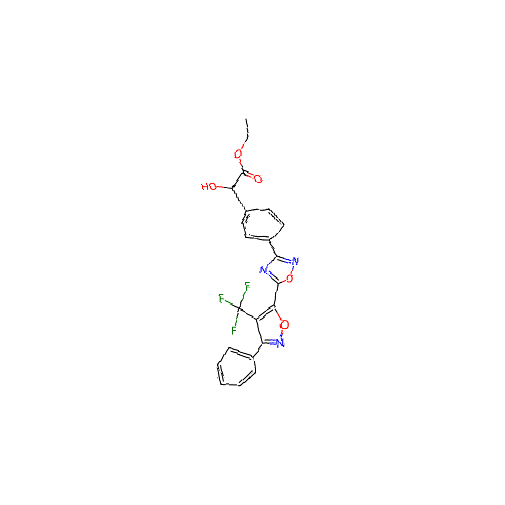 CCOC(=O)C(O)c1ccc(-c2noc(-c3onc(-c4ccccc4)c3C(F)(F)F)n2)cc1